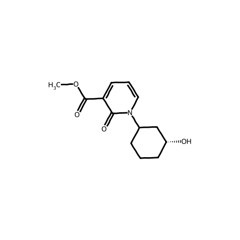 COC(=O)c1cccn(C2CCC[C@@H](O)C2)c1=O